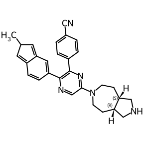 CC1C=c2ccc(-c3ncc(N4CC[C@@H]5CNC[C@@H]5CC4)nc3-c3ccc(C#N)cc3)cc2=C1